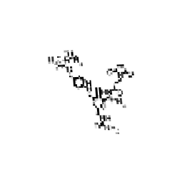 C[C@H](NC(=O)CCN1C(=O)C=CC1=O)C(=O)N[C@@H](CCCNC(N)=O)CNc1ccc(COC(=O)C(C)(C)C)cc1